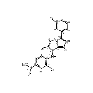 CCN(CC)c1ccc(NC2C(C)=Nn3c(-c4cccc(C)c4)nnc32)c(C)n1